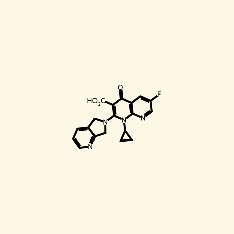 O=C(O)c1c(N2Cc3cccnc3C2)n(C2CC2)c2ncc(F)cc2c1=O